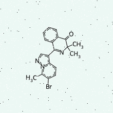 Cc1c(Br)ccc2c(C3=NC(C)(C)C(=O)c4ccccc43)cnn12